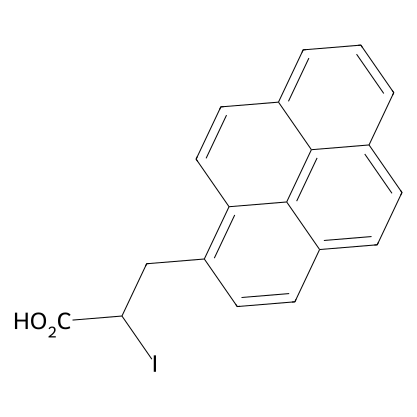 O=C(O)C(I)Cc1ccc2ccc3cccc4ccc1c2c34